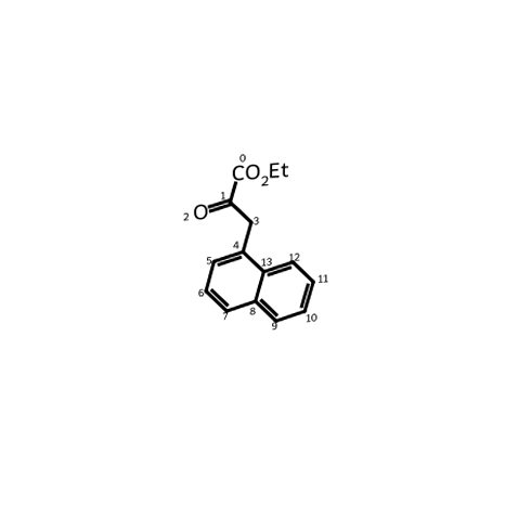 CCOC(=O)C(=O)Cc1cccc2ccccc12